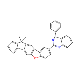 CC1(C)c2ccccc2-c2cc3oc4ccc(-c5nc(-c6ccccc6)c6ccccc6n5)cc4c3cc21